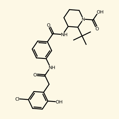 CC(C)(C)C1C(NC(=O)c2cccc(NC(=O)Cc3cc(Cl)ccc3O)c2)CCCN1C(=O)O